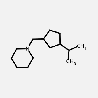 CC(C)C1CCC(CN2CCCCC2)C1